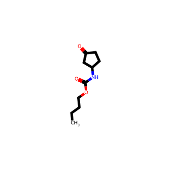 CCCCOC(=O)NC1CCC(=O)C1